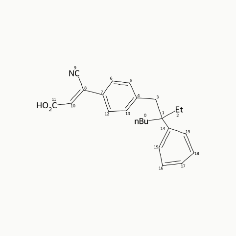 CCCCC(CC)(Cc1ccc(C(C#N)=CC(=O)O)cc1)c1ccccc1